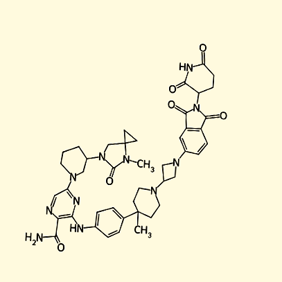 CN1C(=O)N(C2CCCN(c3cnc(C(N)=O)c(Nc4ccc(C5(C)CCN(C6CN(c7ccc8c(c7)C(=O)N(C7CCC(=O)NC7=O)C8=O)C6)CC5)cc4)n3)C2)CC12CC2